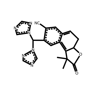 CC1(C)C(=O)OC2CC=c3cc(C#N)c(C(n4cncn4)n4cncn4)cc3=C21